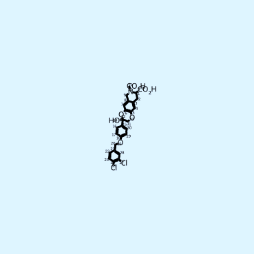 O=C(O)C1Cc2cc3c(cc2CN1C(=O)O)O[C@@](O)(c1ccc(OCc2ccc(Cl)c(Cl)c2)cc1)CO3